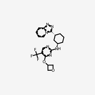 FC(F)(F)c1cnc(N[C@@H]2CCC[C@@H](c3nnc4ccccn34)C2)nc1OC1COC1